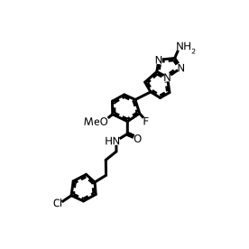 COc1ccc(-c2ccn3nc(N)nc3c2)c(F)c1C(=O)NCCCc1ccc(Cl)cc1